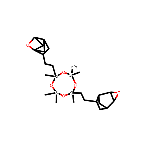 CCC[Si]1(C)O[Si](C)(CCC2CC3CC2C2OC32)O[Si](C)(C)O[Si](C)(CCC2CC3CC24CC3O4)O1